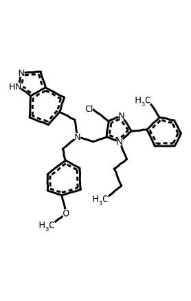 CCCCn1c(-c2ccccc2C)nc(Cl)c1CN(Cc1ccc(OC)cc1)Cc1ccc2[nH]ncc2c1